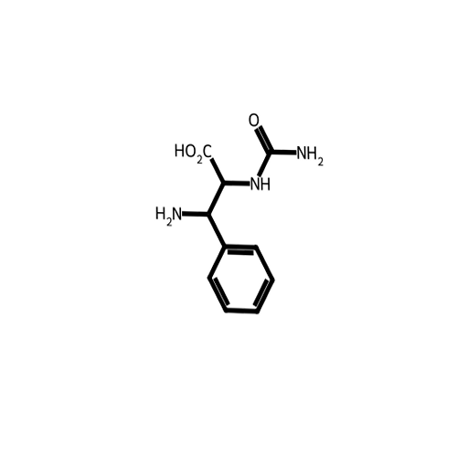 NC(=O)NC(C(=O)O)C(N)c1ccccc1